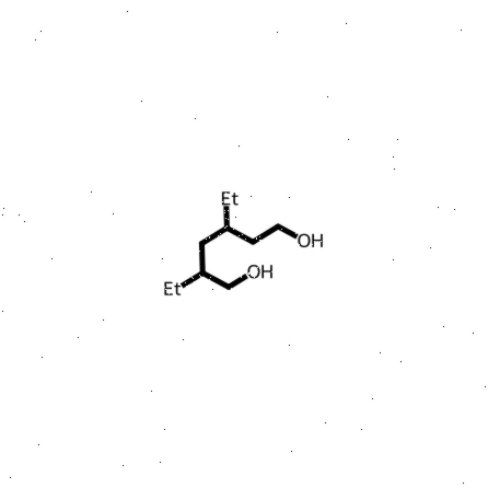 CCC(CO)CC(CC)CCO